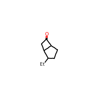 CCC1CCC2C(=O)CC12